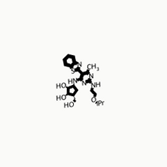 Cc1nc(NCCOC(C)C)nc(N[C@@H]2C[C@H](CO)[C@@H](O)[C@H]2O)c1-c1nc2ccccc2s1